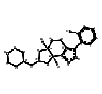 Fc1ccccc1-c1nnn2c1CO[C@H]1CN(CC3CCOCC3)C[C@@H]12